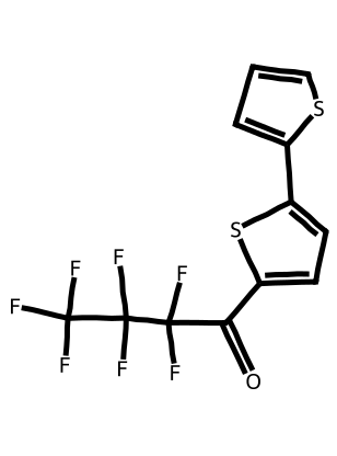 O=C(c1ccc(-c2cccs2)s1)C(F)(F)C(F)(F)C(F)(F)F